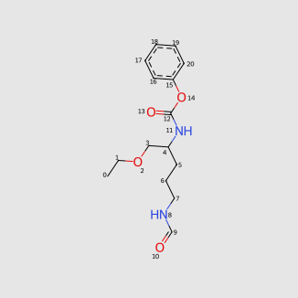 CCOCC(CCCNC=O)NC(=O)Oc1ccccc1